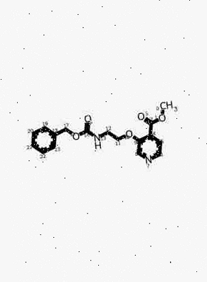 COC(=O)c1ccncc1OCCNC(=O)OCc1ccccc1